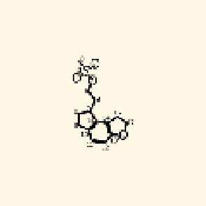 CS(=O)(=O)OCCC1CCc2ccc3c(c21)CCO3